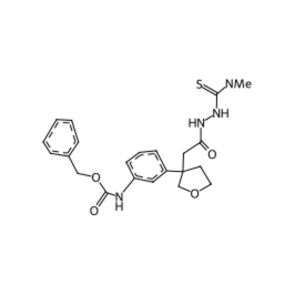 CNC(=S)NNC(=O)CC1(c2cccc(NC(=O)OCc3ccccc3)c2)CCOC1